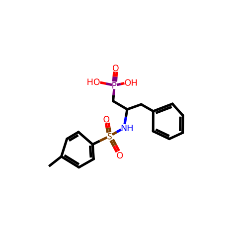 Cc1ccc(S(=O)(=O)NC(Cc2ccccc2)CP(=O)(O)O)cc1